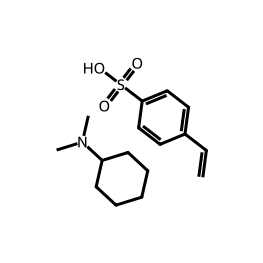 C=Cc1ccc(S(=O)(=O)O)cc1.CN(C)C1CCCCC1